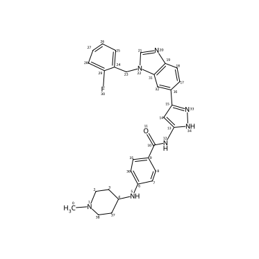 CN1CCC(Nc2ccc(C(=O)Nc3cc(-c4ccc5ncn(Cc6ccccc6F)c5c4)n[nH]3)cc2)CC1